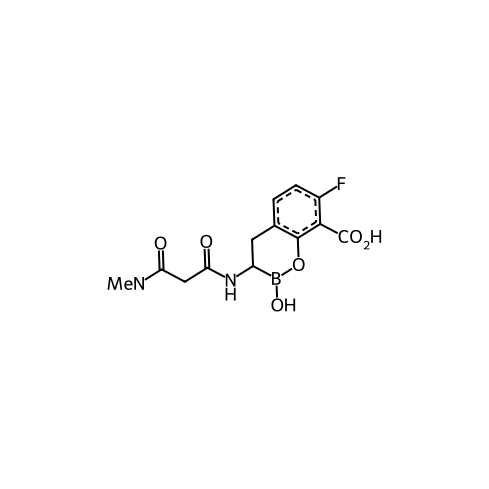 CNC(=O)CC(=O)NC1Cc2ccc(F)c(C(=O)O)c2OB1O